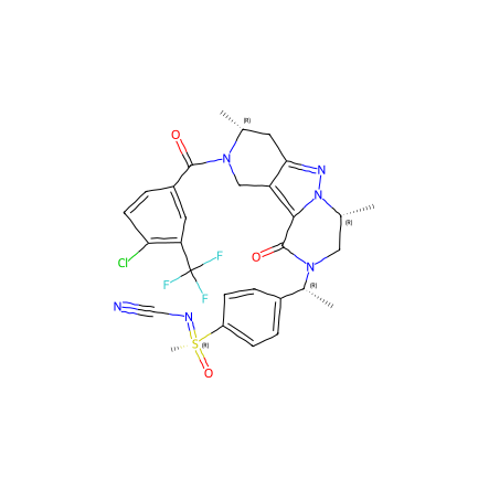 C[C@@H]1Cc2nn3c(c2CN1C(=O)c1ccc(Cl)c(C(F)(F)F)c1)C(=O)N([C@H](C)c1ccc([S@@](C)(=O)=NC#N)cc1)C[C@H]3C